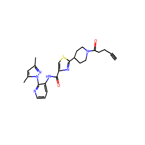 C#CCCC(=O)N1CCC(c2nc(C(=O)Nc3cccnc3-n3nc(C)cc3C)cs2)CC1